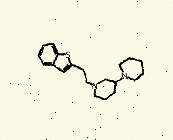 c1ccc2sc(CCN3CCCC(N4CCCCC4)C3)cc2c1